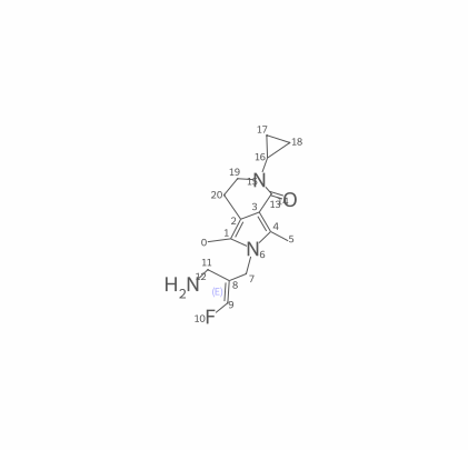 Cc1c2c(c(C)n1C/C(=C/F)CN)C(=O)N(C1CC1)CC2